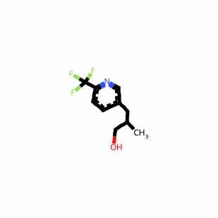 CC(CO)Cc1ccc(C(F)(F)F)nc1